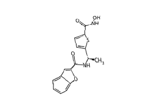 C[C@@H](NC(=O)c1cc2ccccc2o1)c1ccc(C(=O)NO)s1